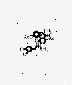 CC(=O)Oc1ccc2c3c1O[C@H]1[C@H](N(C)C(=O)Cc4ccc(Cl)c(Cl)c4)CC[C@@]4(OC(C)=O)[C@@H](C2)N(C)CC[C@]314